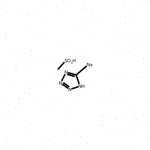 CS(=O)(=O)O.[Na][c]1nnn[nH]1